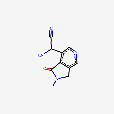 CN1Cc2cncc(C(N)C#N)c2C1=O